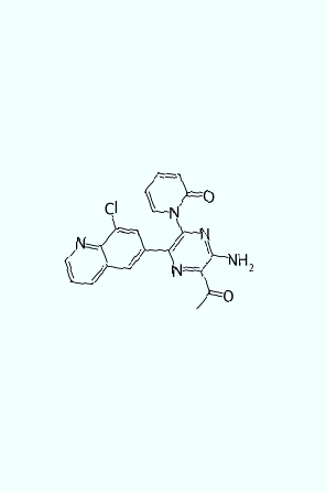 CC(=O)c1nc(-c2cc(Cl)c3ncccc3c2)c(-n2ccccc2=O)nc1N